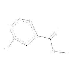 CNC(=O)c1cc(Cl)ncn1